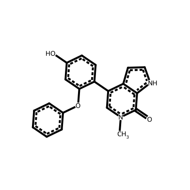 Cn1cc(-c2ccc(O)cc2Oc2ccccc2)c2cc[nH]c2c1=O